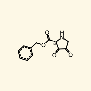 O=C1CN[C@H](C(=O)OCc2ccccc2)C1=O